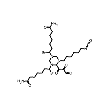 NC(=O)CCCCCC(Br)N1CN(CCCCCCN=C=O)C(C(=O)C(=O)C=O)N(C(Br)CCCCCC(N)=O)C1